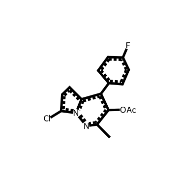 CC(=O)Oc1c(C)nn2c(Cl)ccc2c1-c1ccc(F)cc1